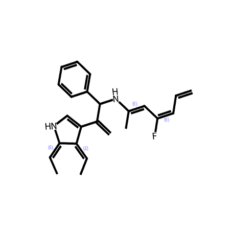 C=C/C=C(F)\C=C(/C)NC(C(=C)c1c[nH]c(=C/C)/c1=C\C)c1ccccc1